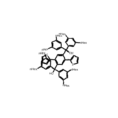 CCCCCCc1cc(CCCCCC)cc(C(O)(c2cc(CCCCCC)cc(CCCCCC)c2)c2cc(-c3cccs3)c(C(O)(c3cc(CCCCCC)cc(CCCCCC)c3)c3cc(CCCCCC)cc(CCCCCC)c3)cc2-c2cccs2)c1